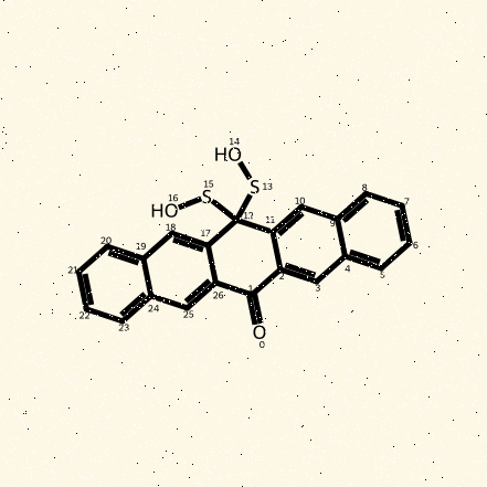 O=C1c2cc3ccccc3cc2C(SO)(SO)c2cc3ccccc3cc21